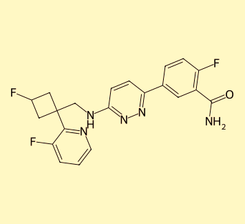 NC(=O)c1cc(-c2ccc(NCC3(c4ncccc4F)CC(F)C3)nn2)ccc1F